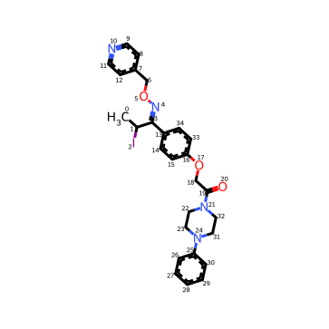 CC(I)C(=NOCc1ccncc1)c1ccc(OCC(=O)N2CCN(c3ccccc3)CC2)cc1